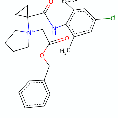 CCOC(=O)c1cc(Cl)cc(C)c1NC(=O)C1([N+]2(CC(=O)OCc3ccccc3)CCCC2)CC1